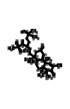 CCCC(C)(C)CC[C@@](C)(CC[C@]1(C)CC(=O)C=C2[C@@]3(C)C=C(C#N)C(=O)C(C)(C)[C@@H]3CC[C@]21C)NS(C)(=O)=O